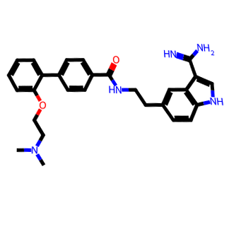 CN(C)CCOc1ccccc1-c1ccc(C(=O)NCCc2ccc3[nH]cc(C(=N)N)c3c2)cc1